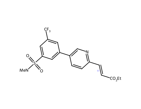 CCOC(=O)/C=C/c1ccc(-c2cc(C(F)(F)F)cc(S(=O)(=O)NC)c2)cn1